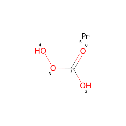 O=C(O)OO.[Pr]